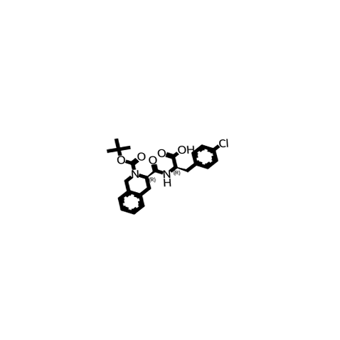 CC(C)(C)OC(=O)N1Cc2ccccc2C[C@@H]1C(=O)N[C@H](Cc1ccc(Cl)cc1)C(=O)O